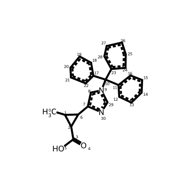 CC1C(C(=O)O)C1c1cn(C(c2ccccc2)(c2ccccc2)c2ccccc2)cn1